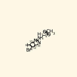 CS(=O)(=O)CCCNc1ncc2cc(Br)c(I)cc2n1